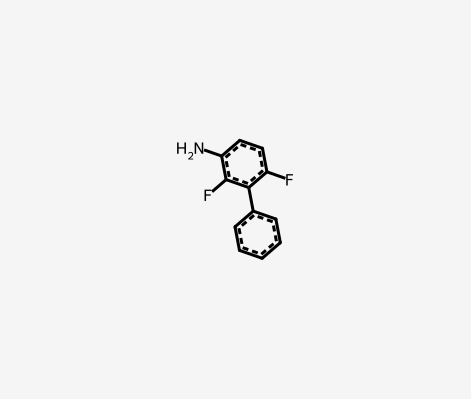 Nc1ccc(F)c(-c2ccccc2)c1F